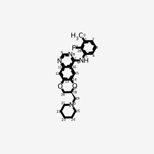 Cc1cccc(Nc2ncnc3cc4c(cc23)O[C@@H](CN2CCCCC2)CO4)c1F